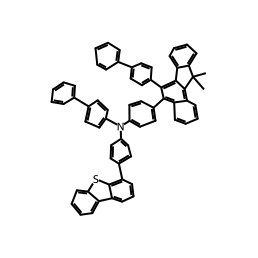 CC1(C)c2ccccc2-c2c(-c3ccc(-c4ccccc4)cc3)c(-c3ccc(N(c4ccc(-c5ccccc5)cc4)c4ccc(-c5cccc6c5sc5ccccc56)cc4)cc3)c3ccccc3c21